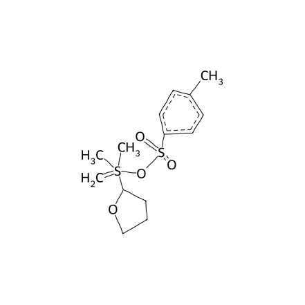 C=S(C)(C)(OS(=O)(=O)c1ccc(C)cc1)C1CCCO1